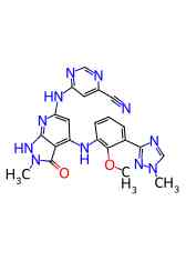 COc1c(Nc2cc(Nc3cc(C#N)ncn3)nc3[nH]n(C)c(=O)c23)cccc1-c1ncn(C)n1